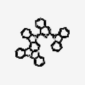 c1ccc2c(-n3c4ccccc4c4c5c6ccccc6n6c7ccccc7c(cc43)c56)nc(-n3c4ccccc4c4ccccc43)nc2c1